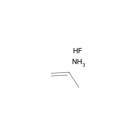 C=CC.F.N